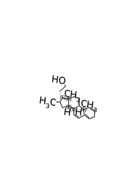 CC1C[C@H]2[C@@H]3C=CC4=CCC=C[C@]4(C)C3=CC[C@]2(C)[C@H]1CCO